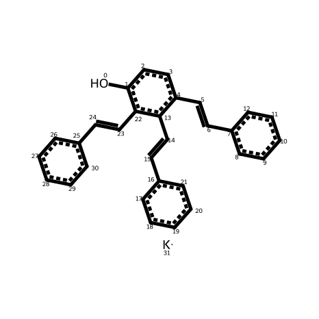 Oc1ccc(C=Cc2ccccc2)c(C=Cc2ccccc2)c1C=Cc1ccccc1.[K]